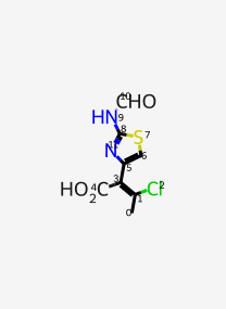 CC(Cl)=C(C(=O)O)c1csc(NC=O)n1